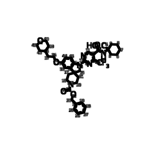 O=C(NC1(C(=O)O)CCCCC1)c1cnc(N2CC3(CCN(C(=O)OCc4ccccc4)CC3)c3cc(OCCC4CCOCC4)ccc32)nc1C(F)(F)F